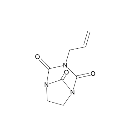 C=CCn1c(=O)n2c(=O)n(c1=O)CC2